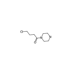 O=C(CCCCl)N1CC[N]CC1